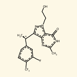 Cc1nc2c([C@H](C)c3ccc(C(F)(F)F)c(F)c3)nn(CCO)c2c(=O)[nH]1